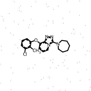 Cc1c(Cl)cccc1Oc1cccn2c(N3CCCCCC3)nnc12